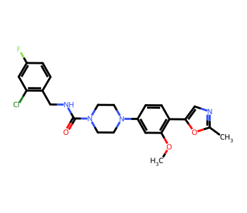 COc1cc(N2CCN(C(=O)NCc3ccc(F)cc3Cl)CC2)ccc1-c1cnc(C)o1